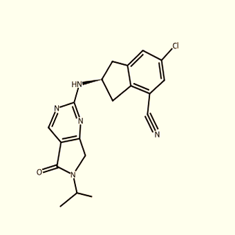 CC(C)N1Cc2nc(N[C@H]3Cc4cc(Cl)cc(C#N)c4C3)ncc2C1=O